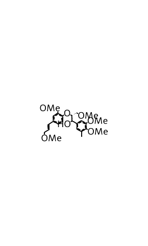 COC/C=C/c1ccc(O[C@H](COC)C(O)c2cc(C)c(OC)c(OC)c2)c(OC)c1